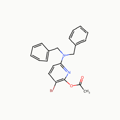 CC(=O)Oc1nc(N(Cc2ccccc2)Cc2ccccc2)ccc1Br